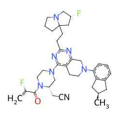 C=C(F)C(=O)N1CCN(c2nc(CCC34CCCN3C[C@H](F)C4)nc3c2CCN(c2cccc4c2C[C@H](C)C4)C3)C[C@@H]1CC#N